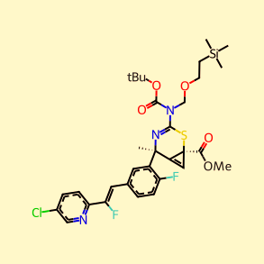 COC(=O)[C@]12C=C1[C@@](C)(c1cc(/C=C(\F)c3ccc(Cl)cn3)ccc1F)N=C(N(COCC[Si](C)(C)C)C(=O)OC(C)(C)C)S2